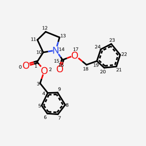 O=C(OCc1ccccc1)C1CCCN1C(=O)OCc1ccccc1